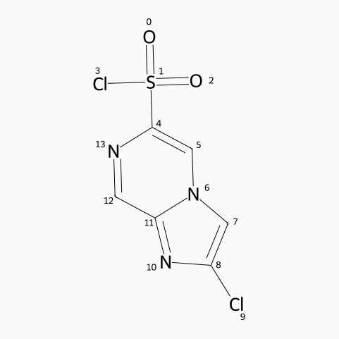 O=S(=O)(Cl)c1cn2cc(Cl)nc2cn1